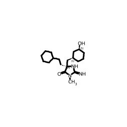 CN1C(=N)N[C@](CCC2CCCCC2)(C[C@@H]2CCC[C@H](O)C2)C1=O